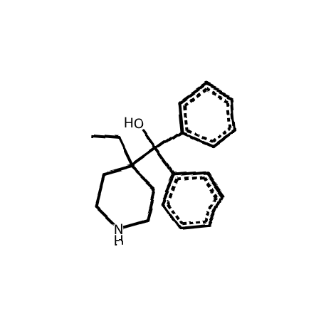 CCC1(C(O)(c2ccccc2)c2ccccc2)CCNCC1